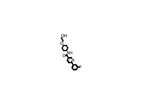 O=C(N[C@H]1CC[C@H](OCCO)CC1)c1ccc(-c2cccc(F)c2)nc1